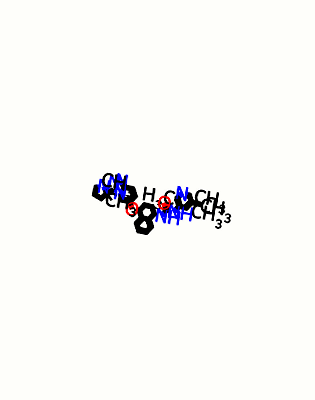 Cc1ncc(C(C)(C)C)cc1NC(=O)N[C@H]1CC[C@@H](Oc2ccc3nnc([C@]4(C)CCCN4C)n3c2)c2ccccc21